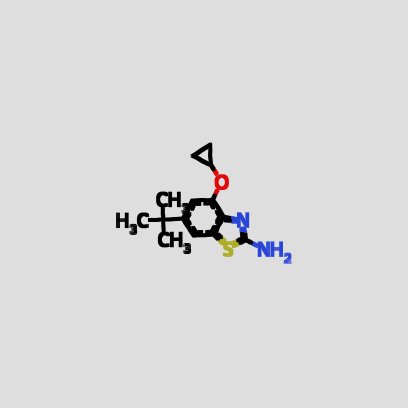 CC(C)(C)c1cc(OC2CC2)c2nc(N)sc2c1